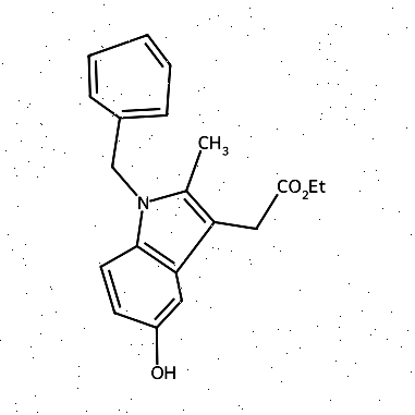 CCOC(=O)Cc1c(C)n(Cc2ccccc2)c2ccc(O)cc12